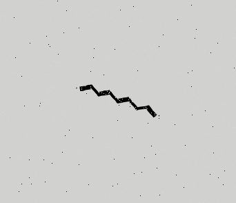 [CH]=CC=CC=CCC=[CH]